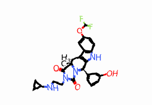 C[C@@]12Cc3c([nH]c4ccc(OC(F)F)cc34)[C@@H](c3cccc(O)c3)N1C(=O)N(CCNC1CC1)C2=O